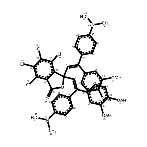 COc1ccc(C(=CC2(C=C(c3ccc(N(C)C)cc3)c3ccc(OC)c(OC)c3)OC(=O)c3c(Cl)c(Cl)c(Cl)c(Cl)c32)c2ccc(N(C)C)cc2)cc1OC